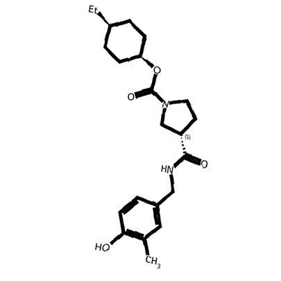 CC[C@H]1CC[C@@H](OC(=O)N2CC[C@H](C(=O)NCc3ccc(O)c(C)c3)C2)CC1